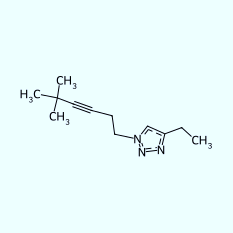 CCc1cn(CCC#CC(C)(C)C)nn1